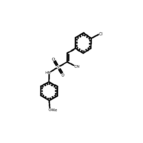 COc1ccc(NS(=O)(=O)C(C#N)=Cc2ccc(Cl)cc2)cc1